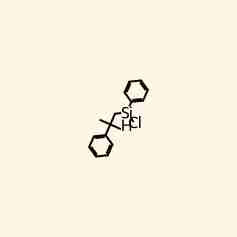 CC(C)(C[SiH](Cl)c1ccccc1)c1ccccc1